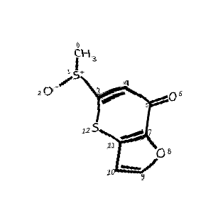 C[S+]([O-])c1cc(=O)c2occc2s1